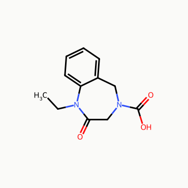 CCN1C(=O)CN(C(=O)O)Cc2ccccc21